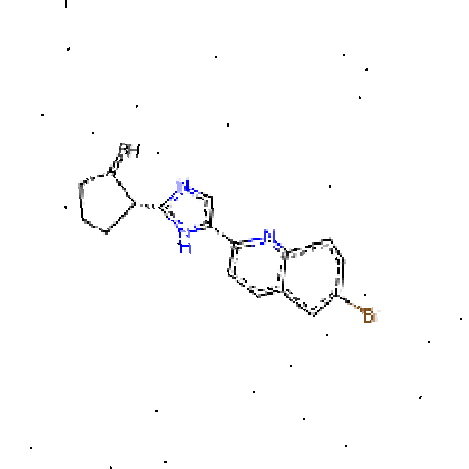 B=C1CCC[C@H]1c1ncc(-c2ccc3cc(Br)ccc3n2)[nH]1